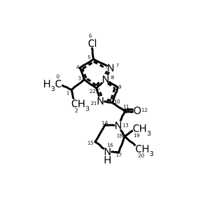 CC(C)c1cc(Cl)nn2cc(C(=O)N3CCNCC3(C)C)nc12